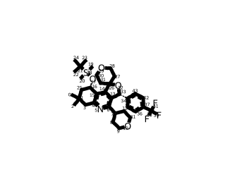 CC1(C)Cc2nc(C3CCOCC3)c3c(c2[C@@H](O[Si](C)(C)C(C)(C)C)C1)C1(CCOCC1)O[C@@H]3c1ccc(C(F)(F)F)cc1